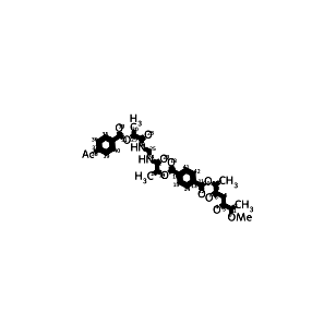 COC(C)C(=O)CC(=O)C(C)OC(=O)c1ccc(C(=O)OC(C)C(=O)NCNC(=O)C(C)OC(=O)c2ccc(C(C)=O)cc2)cc1